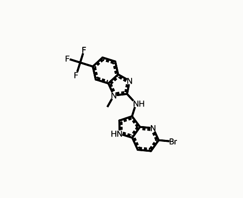 Cn1c(Nc2c[nH]c3ccc(Br)nc23)nc2ccc(C(F)(F)F)cc21